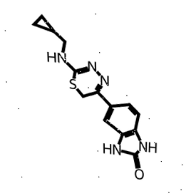 O=c1[nH]c2ccc(C3=NN=C(NCC4CC4)SC3)cc2[nH]1